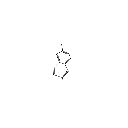 CCOC(=O)c1ccc2cc(I)ccc2c1